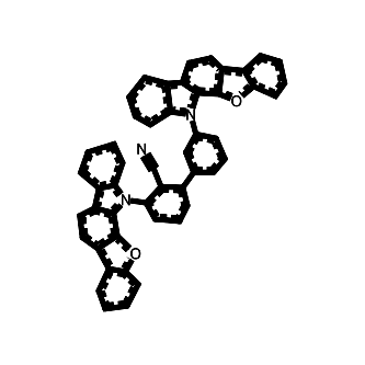 N#Cc1c(-c2cccc(-n3c4ccccc4c4ccc5c6ccccc6oc5c43)c2)cccc1-n1c2ccccc2c2ccc3c4ccccc4oc3c21